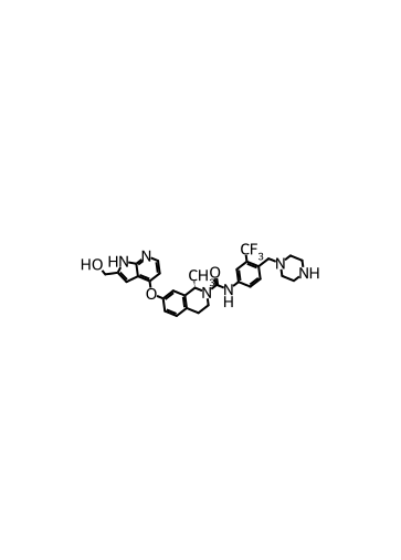 C[C@H]1c2cc(Oc3ccnc4[nH]c(CO)cc34)ccc2CCN1C(=O)Nc1ccc(CN2CCNCC2)c(C(F)(F)F)c1